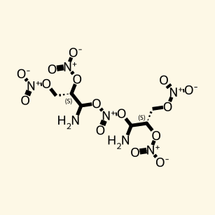 NC(O[N+](=O)OC(N)[C@H](CO[N+](=O)[O-])O[N+](=O)[O-])[C@H](CO[N+](=O)[O-])O[N+](=O)[O-]